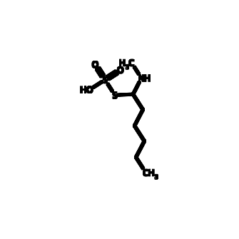 CCCCCC(NC)SS(=O)(=O)O